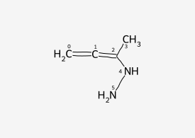 C=C=C(C)NN